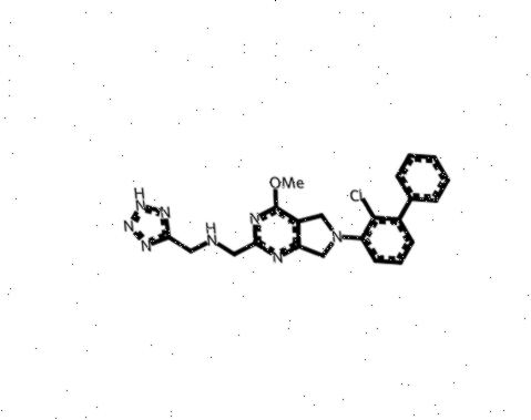 COc1nc(CNCc2nn[nH]n2)nc2c1CN(c1cccc(-c3ccccc3)c1Cl)C2